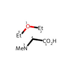 CCOCC.CNCC(=O)O